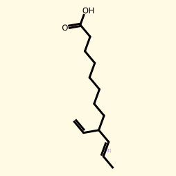 C=CC(/C=C/C)CCCCCCCC(=O)O